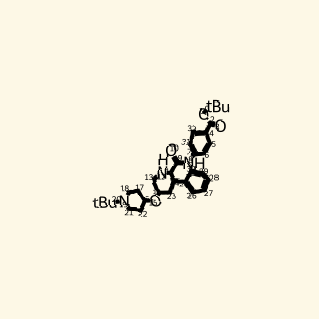 CC(C)(C)OC(=O)c1ccc(NC(=O)C2NCC(OC3CCN(C(C)(C)C)CC3)CC2c2ccccc2)cc1